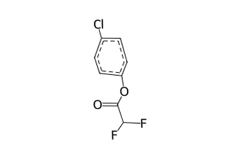 O=C(Oc1ccc(Cl)cc1)C(F)F